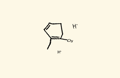 CC1=[C]([Os])CC=C1.[H-].[H-]